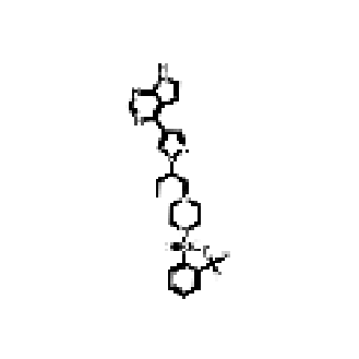 CCC(CN1CCN(S(=O)(=O)c2ccccc2C(F)(F)F)CC1)n1cc(-c2ncnc3[nH]ccc23)cn1